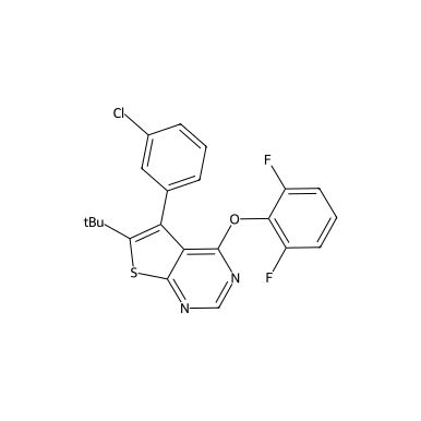 CC(C)(C)c1sc2ncnc(Oc3c(F)cccc3F)c2c1-c1cccc(Cl)c1